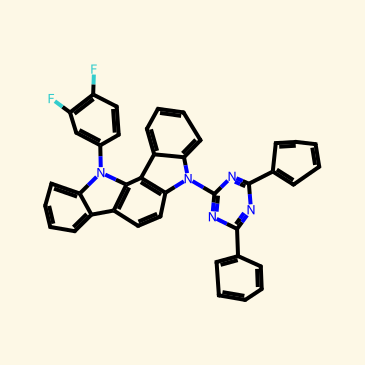 Fc1ccc(-n2c3ccccc3c3ccc4c(c5ccccc5n4-c4nc(-c5ccccc5)nc(-c5ccccc5)n4)c32)cc1F